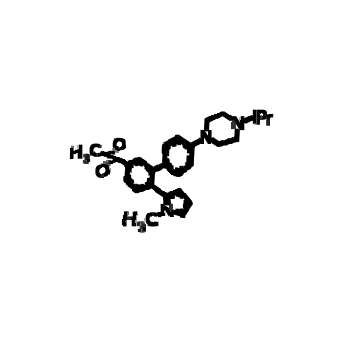 CC(C)N1CCN(c2ccc(-c3cc(S(C)(=O)=O)ccc3-c3cccn3C)cc2)CC1